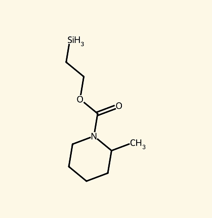 CC1CCCCN1C(=O)OCC[SiH3]